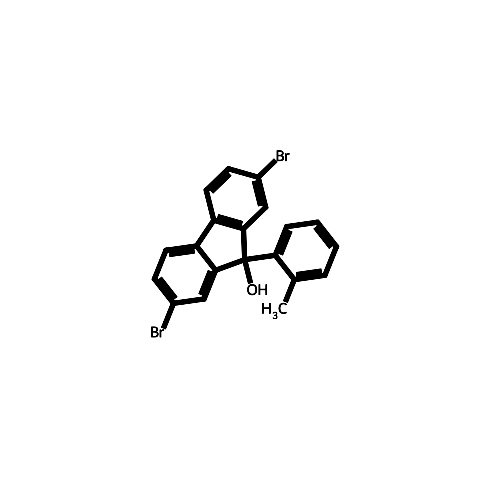 Cc1ccccc1C1(O)c2cc(Br)ccc2-c2ccc(Br)cc21